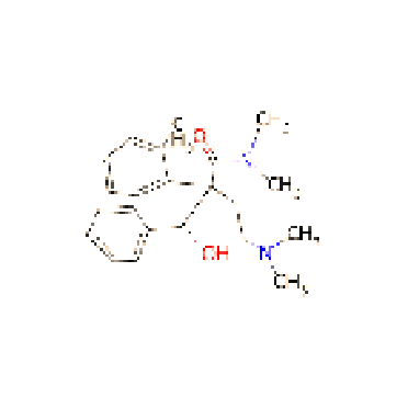 Cc1ccccc1C(CCN(C)C)(C(=O)N(C)C)C(O)c1ccccc1